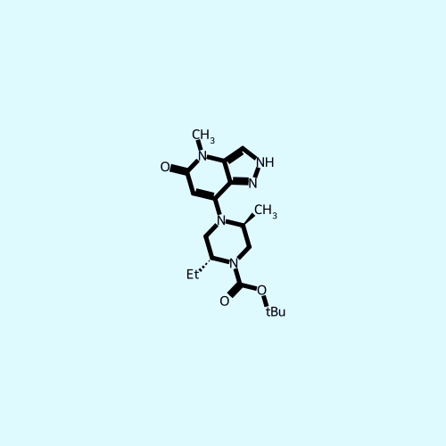 CC[C@@H]1CN(c2cc(=O)n(C)c3c[nH]nc23)[C@@H](C)CN1C(=O)OC(C)(C)C